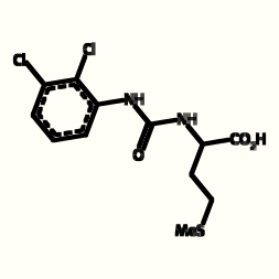 CSCCC(NC(=O)Nc1cccc(Cl)c1Cl)C(=O)O